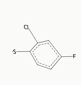 Fc1ccc([S])c(Cl)c1